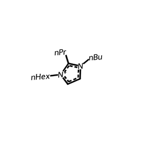 CCCCCC[n+]1ccn(CCCC)c1CCC